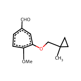 COc1ccc(C=O)cc1OCC1(C)CC1